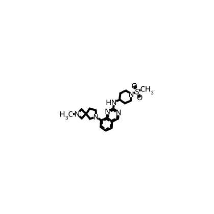 CN1CC2(CCN(c3cccc4cnc(NC5CCN(S(C)(=O)=O)CC5)nc34)C2)C1